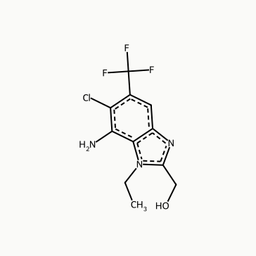 CCn1c(CO)nc2cc(C(F)(F)F)c(Cl)c(N)c21